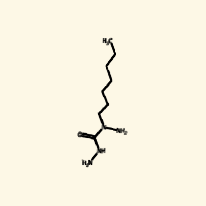 CCCCCCCN(N)C(=O)NN